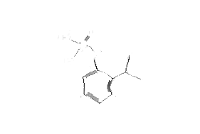 CC(C)c1ccccc1SP(=O)(O)O